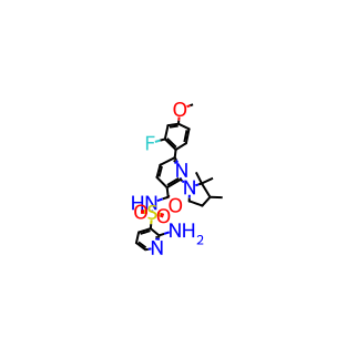 COc1ccc(-c2ccc(C(=O)NS(=O)(=O)c3cccnc3N)c(N3CCC(C)C3(C)C)n2)c(F)c1